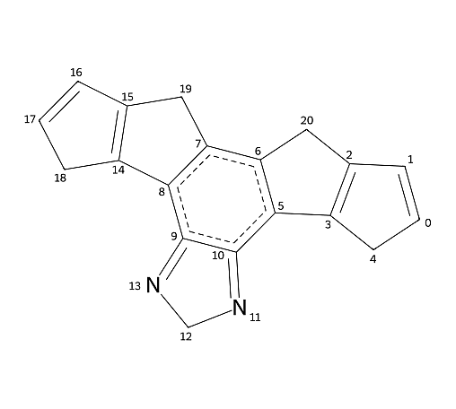 C1=CC2=C(C1)c1c(c3c(c4c1=NCN=4)C1=C(C=CC1)C3)C2